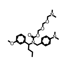 CCCC(c1cccc(OC)c1)N(Cc1ccc(N(C)C)cc1)C(=O)OCOCOCN(C)C